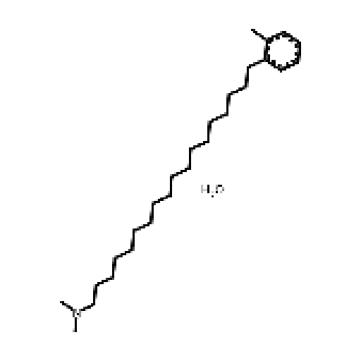 Cc1ccccc1CCCCCCCCCCCCCCCCCCN(C)C.O